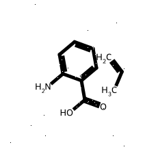 C=CC.Nc1ccccc1C(=O)O